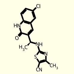 Cc1nc(N[C@@H](C)c2cc3cc(Cl)ccc3[nH]c2=O)sc1C#N